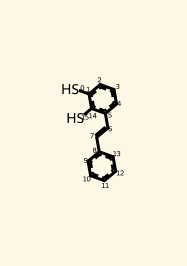 Sc1cccc(C=Cc2ccccc2)c1S